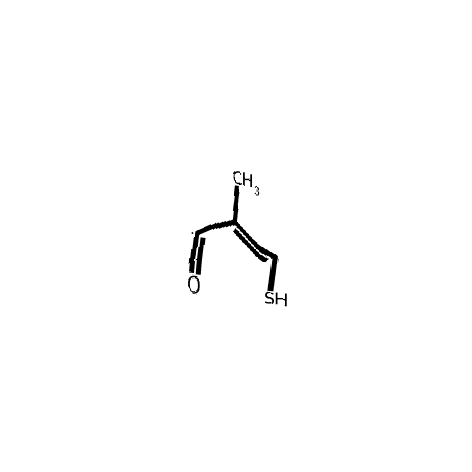 CC([C]=O)=CS